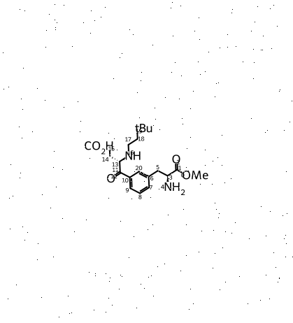 COC(=O)[C@@H](N)Cc1cccc(C(=O)[C@H](CC(=O)O)NCCC(C)(C)C)c1